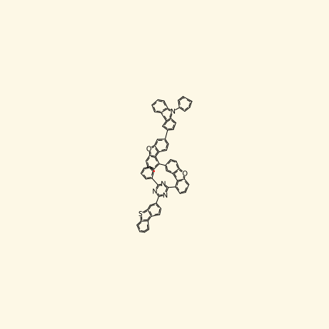 c1ccc(-c2nc(-c3ccc4c(c3)sc3ccccc34)nc(-c3cccc4oc5ccc(-c6cccc7oc8cc(-c9ccc%10c(c9)c9ccccc9n%10-c9ccccc9)ccc8c67)cc5c34)n2)cc1